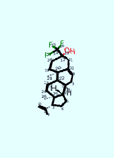 C=C(C)[C@H]1CC[C@H]2[C@@H]3CC=C4C[C@@](O)(C(F)(F)F)CC[C@]4(C)C3CC[C@]12C